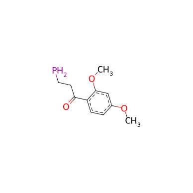 COc1ccc(C(=O)CCP)c(OC)c1